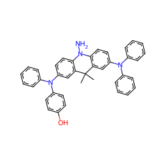 CC1(C)c2cc(N(c3ccccc3)c3ccccc3)ccc2N(N)c2ccc(N(c3ccccc3)c3ccc(O)cc3)cc21